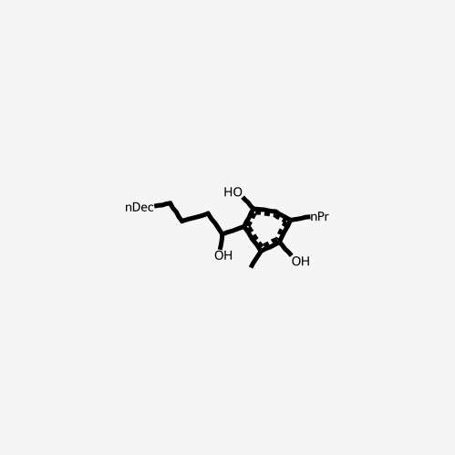 CCCCCCCCCCCCCC(O)c1c(O)cc(CCC)c(O)c1C